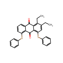 CCc1cc(Sc2ccccc2)c2c(c1CC)C(=O)c1cccc(Sc3ccccc3)c1C2=O